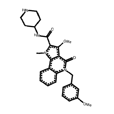 COc1cccc(Cn2c(=O)c3c(OC)c(C(=O)NC4CCNCC4)n(C)c3c3ccccc32)c1